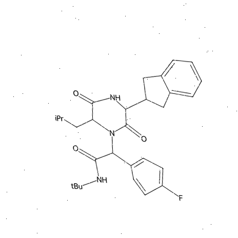 CC(C)CC1C(=O)NC(C2Cc3ccccc3C2)C(=O)N1C(C(=O)NC(C)(C)C)c1ccc(F)cc1